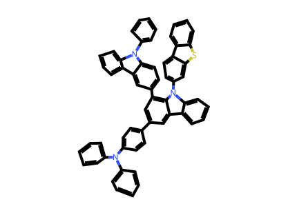 c1ccc(N(c2ccccc2)c2ccc(-c3cc(-c4ccc5c(c4)c4ccccc4n5-c4ccccc4)c4c(c3)c3ccccc3n4-c3ccc4c(c3)sc3ccccc34)cc2)cc1